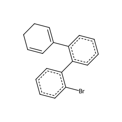 Brc1ccccc1-c1ccccc1C1=CCCC=C1